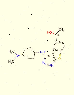 C[C@H](O)c1ccc2sc3ncnc(N[C@H]4CC[C@H](N(C)C)CC4)c3c2c1